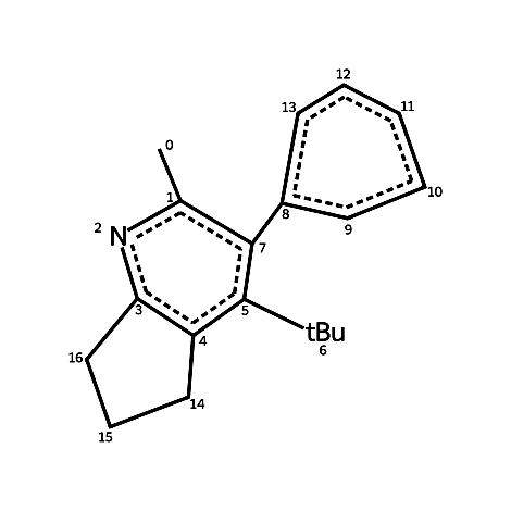 Cc1nc2c(c(C(C)(C)C)c1-c1ccccc1)CCC2